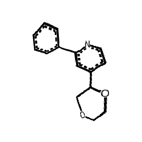 c1ccc(-c2cc(C3COCCO3)ccn2)cc1